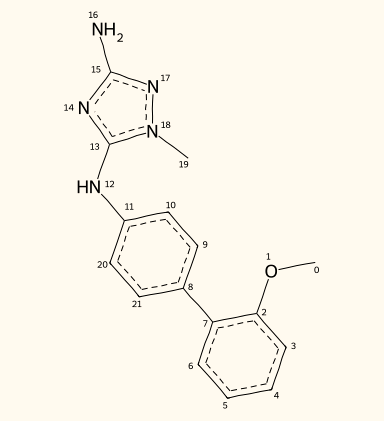 COc1ccccc1-c1ccc(Nc2nc(N)nn2C)cc1